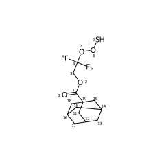 O=C(OCC(F)(F)OOS)C12CC3CC(CC(C3)C1)C2